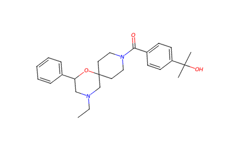 CCN1CC(c2ccccc2)OC2(CCN(C(=O)c3ccc(C(C)(C)O)cc3)CC2)C1